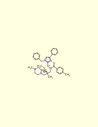 Cc1ccc(C(=O)N(CC(C)(C)CN2CCN(C)CC2)[C@@H](c2nc(-c3ccccc3)cn2Cc2ccccc2)C(C)C)cc1